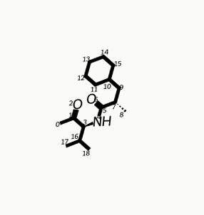 CC(=O)[C@@H](NC(=O)[C@@H](C)CC1CCCCC1)C(C)C